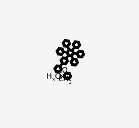 C[Si]1(C)c2ccccc2Oc2c(-c3ccc(-c4c(-c5ccccc5)c(-c5ccccc5)c(-c5ccccc5)c(-c5ccccc5)c4-c4ccccc4)cc3)cccc21